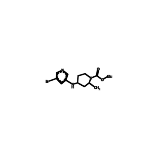 CC1CC(Nc2cncc(Br)c2)CCN1C(=O)OC(C)(C)C